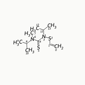 C=CSN(C(=S)N(C)C(C)C)C(C)C